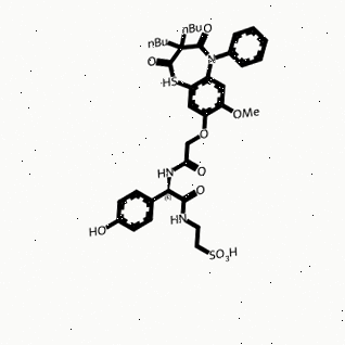 CCCCC1(CCCC)C(=O)[SH]c2cc(OCC(=O)N[C@@H](C(=O)NCCS(=O)(=O)O)c3ccc(O)cc3)c(OC)cc2N(c2ccccc2)C1=O